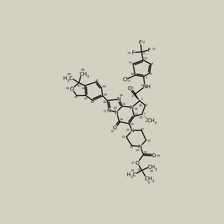 C[C@H]1C[C@H](C(=O)Nc2ccc(C(F)(F)F)cc2Cl)n2c1c(N1CCN(C(=O)OC(C)(C)C)CC1)c(=O)n1nc(-c3ccc4c(c3)COC4(C)C)nc21